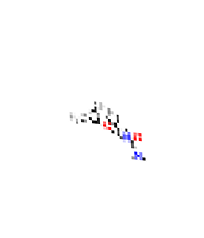 CN(C)CCC(=O)N1CCC(COCc2cc(C(F)(F)F)cc(C(F)(F)F)c2)(c2ccccc2)CC1